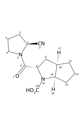 N#C[C@@H]1CCCN1C(=O)[C@@H]1C[C@H]2CCC[C@H]2N1C(=O)O